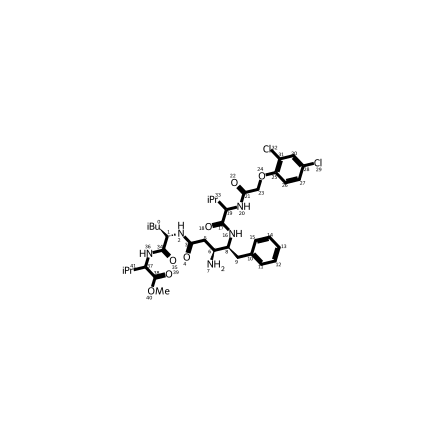 CC[C@H](C)[C@H](NC(=O)C[C@H](N)[C@H](Cc1ccccc1)NC(=O)C(NC(=O)COc1ccc(Cl)cc1Cl)C(C)C)C(=O)NC(C(=O)OC)C(C)C